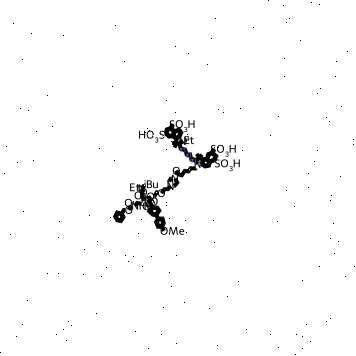 CCC(C)N(CC)OC(=O)[C@@H](CCNC(=O)OCc1ccccc1)N(OCCOCCN1CCN(C(=O)CCCCCN2/C(=C/C=C/C=C/C3=[N+](CC)c4ccc5c(S(=O)(=O)O)cc(S(=O)(=O)O)cc5c4C3(C)C)C(C)(C)c3c2ccc2c(S(=O)(=O)O)cc(S(=O)(=O)O)cc32)CC1)S(=O)(=O)c1ccc(-c2ccc(OC)cc2)cc1